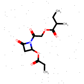 CCC(=O)OC1CC(=O)N1C(=O)COC(=O)C(C)CC